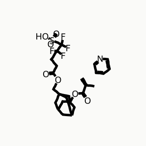 C=C(C)C(=O)OC12CC3CC(CC(COC(=O)CCC(F)(F)C(F)(F)S(=O)(=O)O)(C3)C1)C2.c1ccncc1